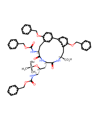 CC(C)(C)[Si](C)(C)O[C@@H](CNC(=O)OCc1ccccc1)C[C@@H]1NC(=O)[C@@H](NC(=O)OCc2ccccc2)Cc2cc(ccc2OCc2ccccc2)-c2ccc(OCc3ccccc3)c(c2)C[C@@H](C(=O)O)NC1=O